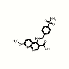 COc1ccc2c(NCc3ccc(S(N)(=O)=O)cc3)c(C(=O)O)cnc2n1